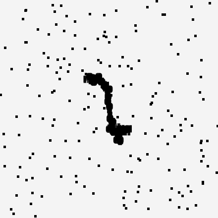 C[C@@H](NC(=O)c1cccc(NC2(c3nnc(-c4ccncc4)[nH]3)CCN(C(=O)OC(C)(C)C)CC2)c1)c1cccc(OCCCCCCOCCOCCOCCCC(=O)N2CCN(c3ccc4c(c3)CN(C3CCC(=O)NC3=O)C4=O)CC2)c1